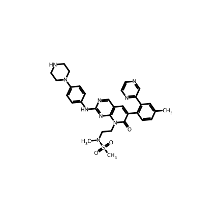 Cc1ccc(-c2cc3cnc(Nc4ccc(N5CCNCC5)cc4)nc3n(CCN(C)S(C)(=O)=O)c2=O)c(-c2cnccn2)c1